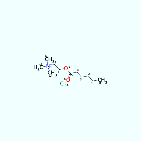 CCCCCC(=O)OCC[N+](C)(C)C.[Cl-]